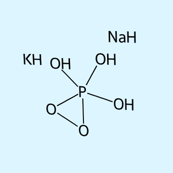 OP1(O)(O)OO1.[KH].[NaH]